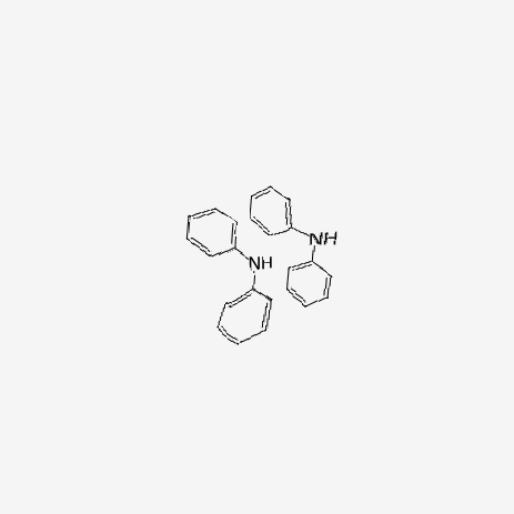 c1ccc(Nc2ccccc2)cc1.c1ccc(Nc2ccccc2)cc1